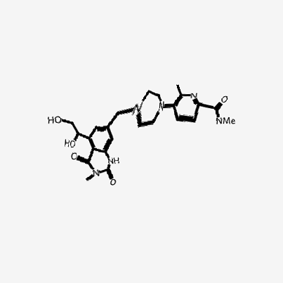 CNC(=O)c1ccc(N2CCN(Cc3cc(C(O)CO)c4c(=O)n(C)c(=O)[nH]c4c3)CC2)c(C)n1